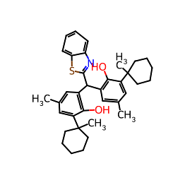 Cc1cc(C(c2nc3ccccc3s2)c2cc(C)cc(C3(C)CCCCC3)c2O)c(O)c(C2(C)CCCCC2)c1